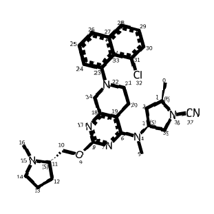 C[C@@H]1C[C@H](N(C)c2nc(OC[C@@H]3CCCN3C)nc3c2CCN(c2cccc4cccc(Cl)c24)C3)CN1C#N